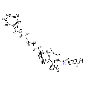 Cc1c(/C=C/C(=O)O)ccc2c1nnn2CCCCCCOCc1ccccc1